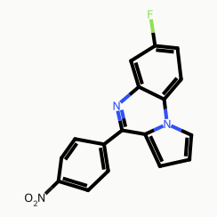 O=[N+]([O-])c1ccc(-c2nc3cc(F)ccc3n3cccc23)cc1